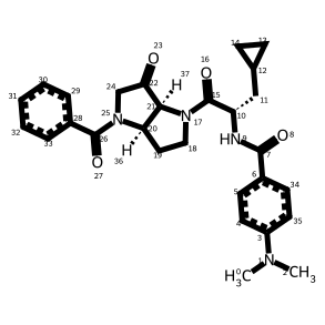 CN(C)c1ccc(C(=O)N[C@@H](CC2CC2)C(=O)N2CC[C@@H]3[C@H]2C(=O)CN3C(=O)c2ccccc2)cc1